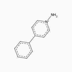 N[n+]1ccc(-c2ccccc2)cc1